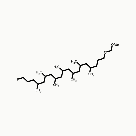 COCOCCCC(C)CC(C)CC(C)CC(C)CC(C)CC(C)CC(C)CCCI